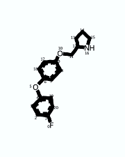 Fc1ccc(Oc2ccc(OCC3CCCN3)cc2)cc1